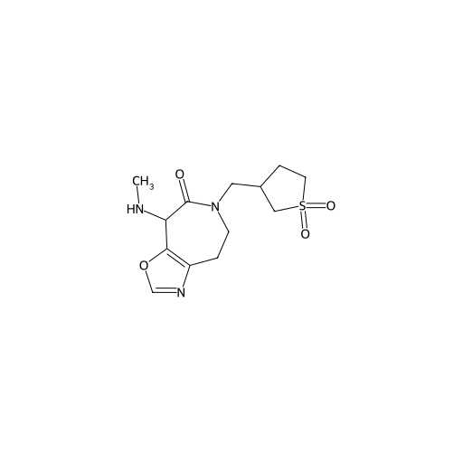 CNC1C(=O)N(CC2CCS(=O)(=O)C2)CCc2ncoc21